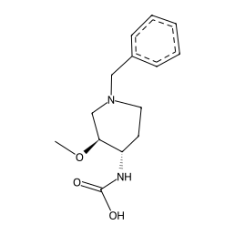 CO[C@H]1CN(Cc2ccccc2)CC[C@@H]1NC(=O)O